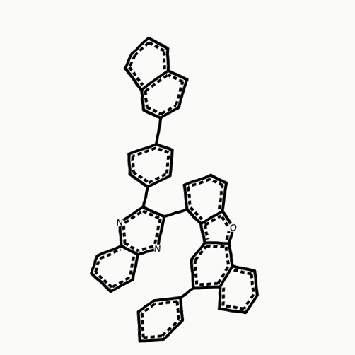 c1ccc(-c2cc3c(oc4cccc(-c5nc6ccccc6nc5-c5ccc(-c6ccc7ccccc7c6)cc5)c43)c3ccccc23)cc1